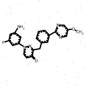 COc1cnc(-c2cccc(Cc3nn(-c4cc(N)cc(F)c4)ccc3=O)c2)nc1